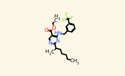 CCCCCC(C)c1ncc(C(=O)OCC)c(NCc2cccc(C(F)(F)F)c2)n1